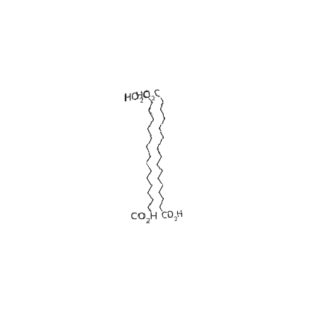 O=C(O)CCCCCCCCCCCCCCC(=O)O.O=C(O)CCCCCCCCCCCCCCC(=O)O